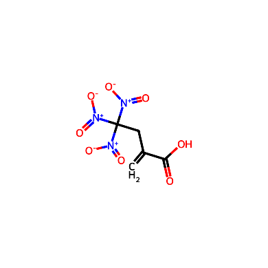 C=C(CC([N+](=O)[O-])([N+](=O)[O-])[N+](=O)[O-])C(=O)O